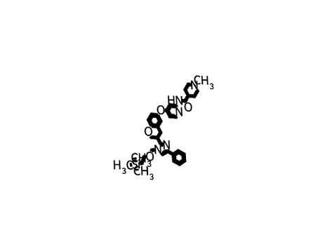 CN1CCC(C(=O)Nc2cc(Oc3ccc4c(c3)CC(c3nc(-c5ccccc5)cn3COCC[Si](C)(C)C)CO4)ccn2)CC1